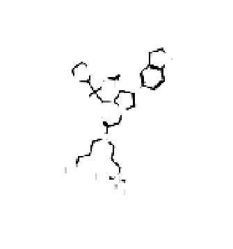 CCCCN(CCC[N+](C)(C)C)C(=O)CN1C[C@H](c2ccc3c(c2)CCO3)[C@@H](C(=O)O)[C@@H]1CC(C)(C)C1OCCO1